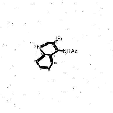 CC(=O)Nc1c(Br)cnc2ccccc12